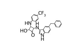 O=C1C(O)C(Nc2ccc(C(F)(F)F)cc2)C1Nc1c[nH]c2ccc(Cc3ccccc3)cc12